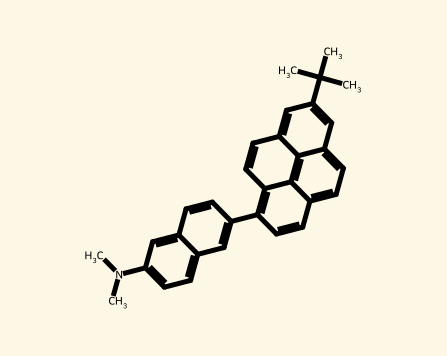 CN(C)c1ccc2cc(-c3ccc4ccc5cc(C(C)(C)C)cc6ccc3c4c56)ccc2c1